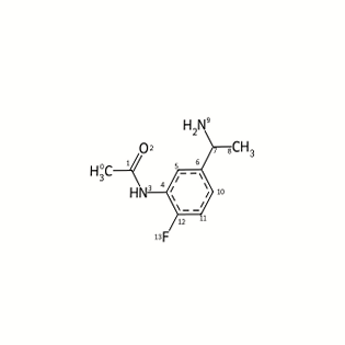 CC(=O)Nc1cc(C(C)N)ccc1F